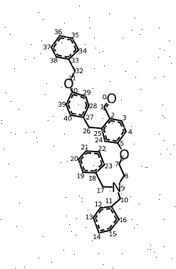 O=[C]c1ccc(OCCN(Cc2ccccc2)Cc2ccccc2)cc1Cc1ccc(OCc2ccccc2)cc1